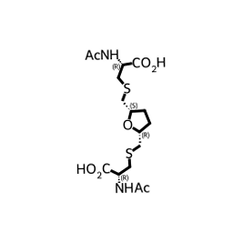 CC(=O)N[C@@H](CSC[C@H]1CC[C@@H](CSC[C@H](NC(C)=O)C(=O)O)O1)C(=O)O